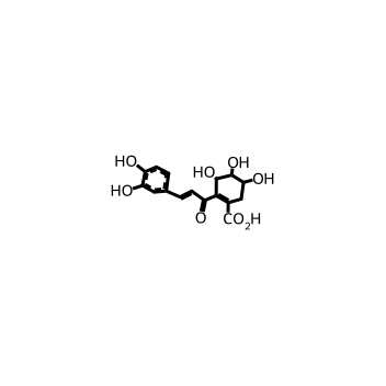 O=C(O)C1=C(C(=O)C=Cc2ccc(O)c(O)c2)C(O)C(O)C(O)C1